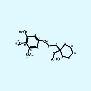 CC(=O)Oc1cc(OCCC2(CC=O)CCCCC2)cc(OC(C)=O)c1C